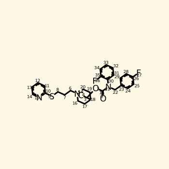 O=C(OC1C[N+]2(CCCSc3ccccn3)CCC1CC2)N(Cc1ccc(F)cc1)c1ccccc1F